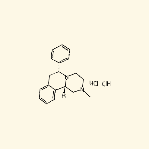 CN1CCN2[C@@H](c3ccccc3)Cc3ccccc3[C@H]2C1.Cl.Cl